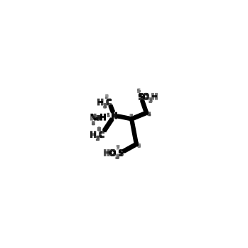 CN(C)C(CS(=O)(=O)O)CS(=O)(=O)O.[NaH]